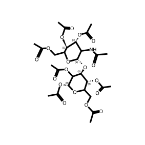 CC(=O)NC1[C@H](O[C@@H]2C(OC(C)=O)[C@@H](OC(C)=O)OC(COC(C)=O)[C@H]2OC(C)=O)OC(COC(C)=O)[C@@H](OC(C)=O)[C@@H]1OC(C)=O